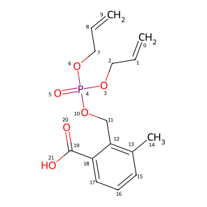 C=CCOP(=O)(OCC=C)OCc1c(C)cccc1C(=O)O